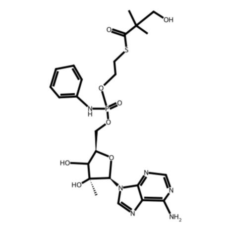 CC(C)(CO)C(=O)SCCOP(=O)(Nc1ccccc1)OC[C@H]1O[C@@H](n2cnc3c(N)ncnc32)[C@@](C)(O)C1O